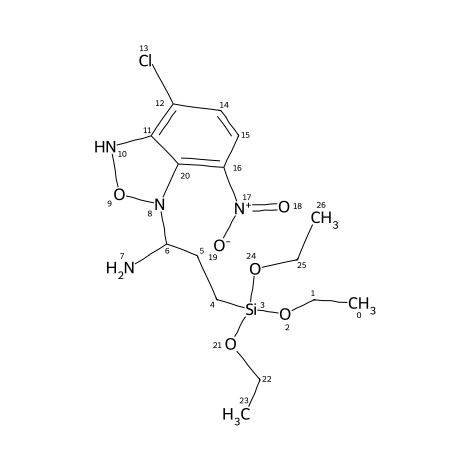 CCO[Si](CCC(N)N1ONc2c(Cl)ccc([N+](=O)[O-])c21)(OCC)OCC